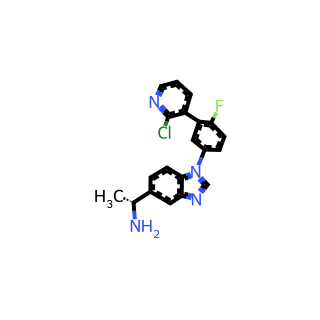 C[C@@H](N)c1ccc2c(c1)ncn2-c1ccc(F)c(-c2cccnc2Cl)c1